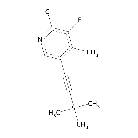 Cc1c(C#C[Si](C)(C)C)cnc(Cl)c1F